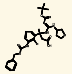 CC(C)(C)OC(=O)N=C(NC1CCOC1)NC(C)(CC(=O)O)c1cccc(NC(=O)OCc2ccccc2)c1Cl